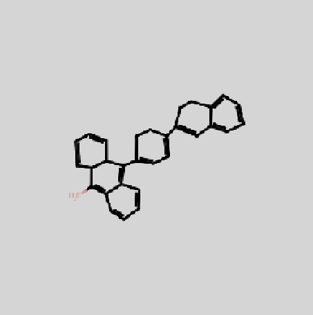 BC1=c2ccccc2=C(C2=CC=C(C3=Cc4ccccc4CC3)CC2)C2C=CC=CC12